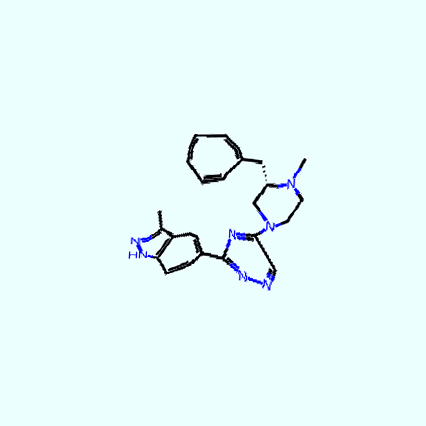 Cc1n[nH]c2ccc(-c3nncc(N4CCN(C)[C@@H](Cc5ccccc5)C4)n3)cc12